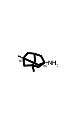 CC12CC3C[C@@](C)(C1)C[C@@](N)(C3)C2